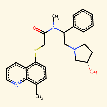 Cc1ccc(SCC(=O)N(C)C(CN2CC[C@H](O)C2)c2ccccc2)c2cccnc12